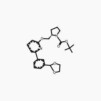 CC(C)(C)OC(=O)N1CCC[C@@H]1COc1cccc(-c2cccc(C3OCCO3)c2)n1